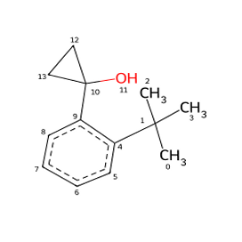 CC(C)(C)c1ccccc1C1(O)CC1